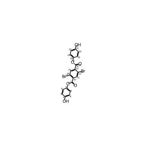 O=C(Oc1ccc(O)cc1)c1cc(Br)c(C(=O)Oc2ccc(O)cc2)cc1Br